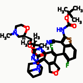 CN1CCO[C@@H](COc2nc(N3C4CC3CN(C(=O)OC(C)(C)C)C4)c3c4c(c(-c5c(F)ccc6sc(NC(=O)OC(C)(C)C)c(C#N)c56)c(F)c3n2)COC4)C1